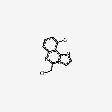 ClCc1nc2cccc(Cl)c2c2nccn12